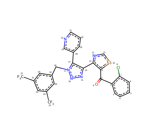 O=C(c1ccccc1Cl)c1scnc1-c1nnn(Cc2cc(C(F)(F)F)cc(C(F)(F)F)c2)c1-c1cccnc1